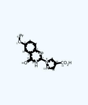 CC(C)Oc1ccc2nc(-n3cc(C(=O)O)cn3)[nH]c(=O)c2c1